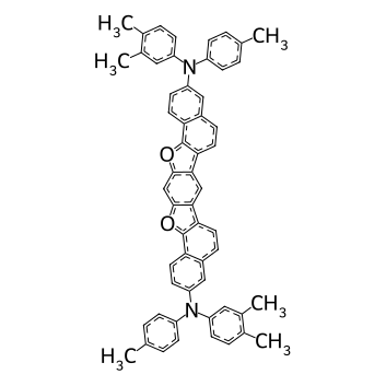 Cc1ccc(N(c2ccc(C)c(C)c2)c2ccc3c(ccc4c5cc6c(cc5oc34)oc3c4ccc(N(c5ccc(C)cc5)c5ccc(C)c(C)c5)cc4ccc63)c2)cc1